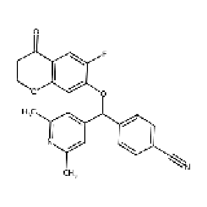 Cc1cc(C(Oc2cc3c(cc2F)C(=O)CCO3)c2ccc(C#N)cc2)cc(C)n1